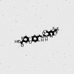 O=C(NCc1ccc(Oc2ccnc(C(=O)O)c2)cc1)Nc1ncc(C(F)(F)F)cc1Cl